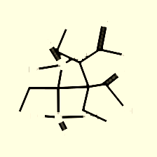 CCC(C(=O)O)C(CC)(C(=O)O)C(CC)(P(=O)(O)O)P(=O)(O)O